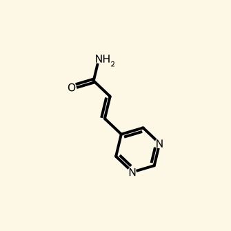 NC(=O)C=Cc1cncnc1